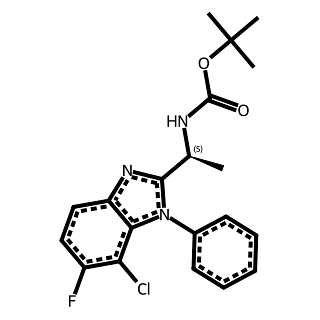 C[C@H](NC(=O)OC(C)(C)C)c1nc2ccc(F)c(Cl)c2n1-c1ccccc1